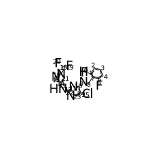 Fc1cccc(F)c1CNc1nc(Nc2cnn(C(F)F)c2)ncc1Cl